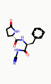 N#CNC(=O)[C@H](Cc1ccccc1)NC(=O)[C@@H]1CCC(=O)N1